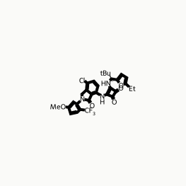 CCc1ccc([C@H](Nc2c(Nc3ccc(Cl)c4c3C(=O)N(c3cc(OC)ccc3C(F)(F)F)C4)c(=O)c2=O)C(C)(C)C)o1